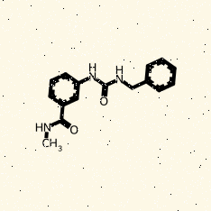 CNC(=O)c1cccc(NC(=O)NCc2ccccc2)c1